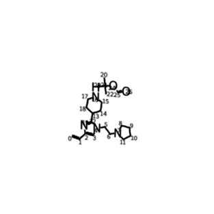 C=Cc1cn(CCN2CCCC2)c(C2CCNCC2)n1.CC(C)(C)OC=O